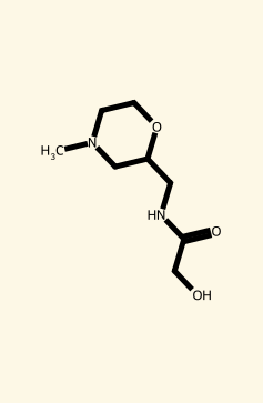 CN1CCOC(CNC(=O)CO)C1